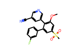 COc1cc(S(C)(=O)=O)cc(-c2cccc(F)c2)c1-c1cncc(C#N)c1